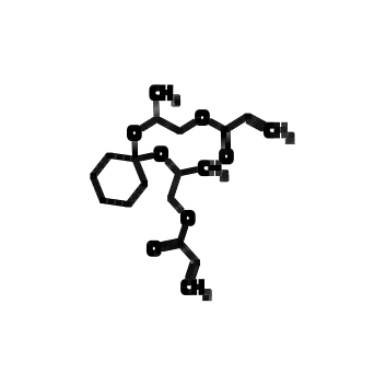 C=CC(=O)OCC(C)OC1(OC(C)COC(=O)C=C)CCCCC1